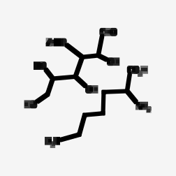 NCCCCC(N)C(=O)O.O=CC(O)C(O)C(O)C(O)CO.[Zn]